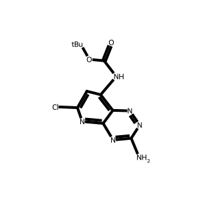 CC(C)(C)OC(=O)Nc1cc(Cl)nc2nc(N)nnc12